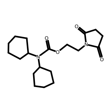 O=C1CCC(=O)N1CCOC(=O)N(C1CCCCC1)C1CCCCC1